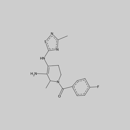 Cc1nsc(NC2=C(N)C(C)N(C(=O)c3ccc(F)cc3)CC2)n1